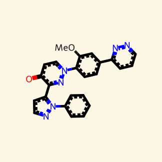 COc1cc(-c2cccnn2)ccc1-n1ccc(=O)c(-c2ccnn2-c2ccccc2)n1